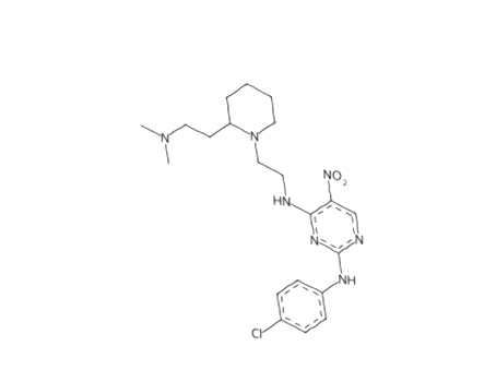 CN(C)CCC1CCCCN1CCNc1nc(Nc2ccc(Cl)cc2)ncc1[N+](=O)[O-]